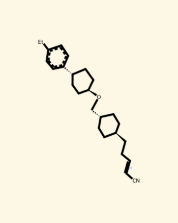 CCc1ccc([C@H]2CC[C@H](OC[C@H]3CC[C@H](CC/C=C/C#N)CC3)CC2)cc1